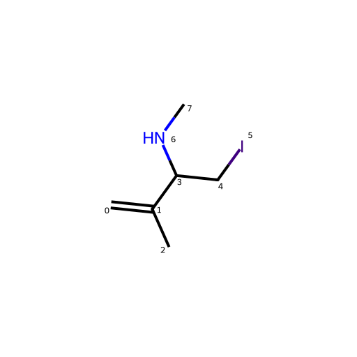 C=C(C)C(CI)NC